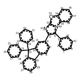 c1ccc(-c2c(-c3ccc4c(c3)C(c3ccccc3)(c3ccccc3)c3ccccc3-4)nc3oc4ccccc4n23)cc1